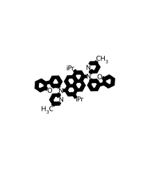 Cc1ccc(N(c2cc(C(C)C)c3c4c5c(ccc24)C(C(C)C)=CC(N(c2ccc(C)cn2)c2cccc4c2oc2ccccc24)C5=CC3)c2cccc3c2oc2ccccc23)nc1